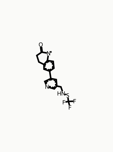 CN1C(=O)CCc2cc(-c3cncc(CNSC(F)(F)F)c3)ccc21